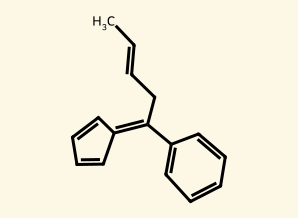 C/C=C/CC(=C1C=CC=C1)c1ccccc1